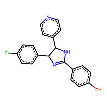 Oc1ccc(C2=NC(c3ccc(F)cc3)C(c3ccncc3)N2)cc1